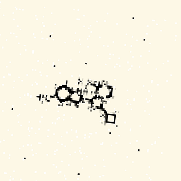 Cc1ccc2[nH]c(-c3nc(C4CCC4)n4ccnc(N)c34)cc2c1